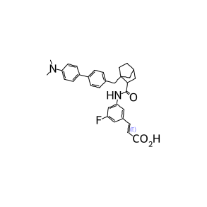 CN(C)c1ccc(-c2ccc(CC34CCC(CC3C(=O)Nc3cc(F)cc(/C=C/C(=O)O)c3)C4)cc2)cc1